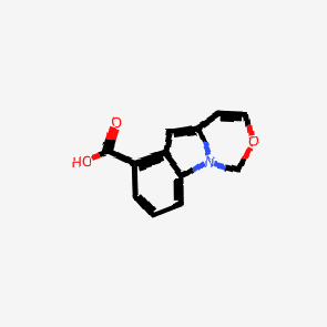 O=C(O)c1cccc2c1cc1n2COC=C1